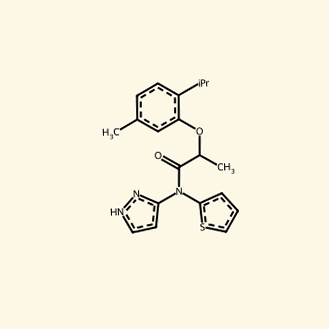 Cc1ccc(C(C)C)c(OC(C)C(=O)N(c2cc[nH]n2)c2cccs2)c1